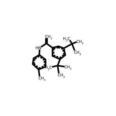 C=C(Nc1ccc(C)cc1)c1cc(C(C)(C)C)cc(C(C)(C)C)c1